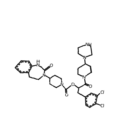 O=C(OC(Cc1ccc(Cl)c(Cl)c1)C(=O)N1CCC(N2CCNCC2)CC1)N1CCC(N2CCc3ccccc3NC2=O)CC1